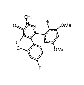 COc1cc(OC)c(Br)c(-c2nn(C)c(=O)c(Cl)c2-c2ccc(F)cc2Cl)c1